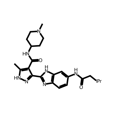 Cc1[nH]nc(-c2nc3ccc(NC(=O)CC(C)C)cc3[nH]2)c1C(=O)NC1CCN(C)CC1